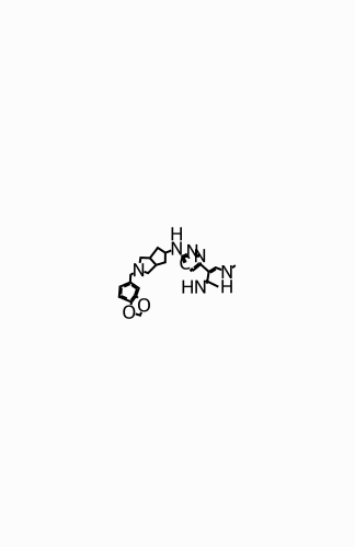 CN/C=C(\C(C)=N)c1ccc(NC2CC3CN(Cc4ccc5c(c4)OCO5)CC3C2)nn1